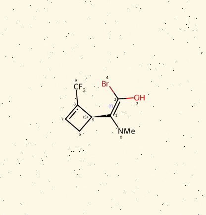 CN/C(=C(\O)Br)[C@H]1CC=C1C(F)(F)F